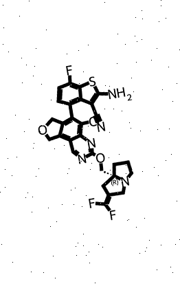 N#Cc1c(N)sc2c(F)ccc(-c3c4c(c5cnc(OC[C@]67CCCN6CC(=C(F)F)C7)nc5c3Cl)COC4)c12